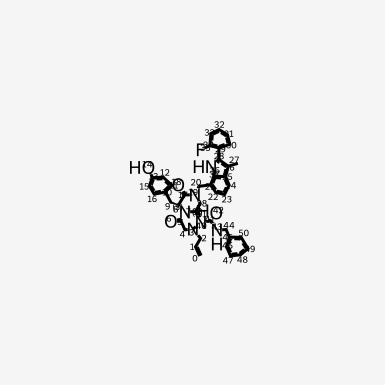 C=CCN1CC(=O)N2[C@@H](Cc3ccc(O)cc3)C(=O)N(Cc3cccc4c(C)c(-c5ccccc5F)[nH]c34)C[C@@H]2N1C(=O)NCc1ccccc1